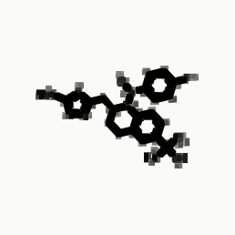 CSc1nnc(C[C@@H]2CCc3cc(C(O)(C(F)(F)F)C(F)(F)F)ccc3N2[S+]([O-])c2ccc(F)cc2)s1